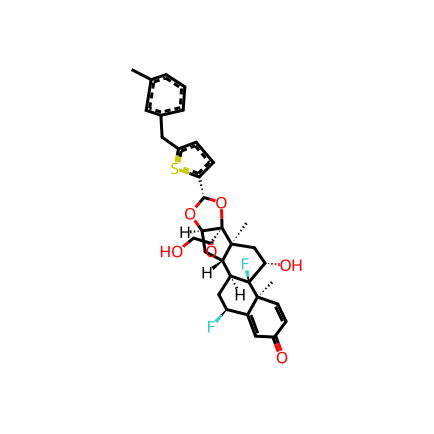 Cc1cccc(Cc2ccc([C@H]3O[C@@H]4C[C@H]5[C@@H]6C[C@H](F)C7=CC(=O)C=C[C@]7(C)[C@@]6(F)[C@@H](O)C[C@]5(C)[C@]4(C(=O)CO)O3)s2)c1